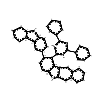 c1ccc(-c2nc(-c3ccccc3)nc(-c3c(-c4ccc5sc6ccccc6c5c4)ccc4oc5cc6ccccc6cc5c34)n2)cc1